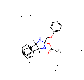 CC1(c2ccccc2)NC(COc2ccccc2)(OC(=O)C(F)(F)F)NC1(C)c1ccccc1